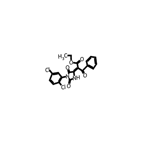 CCOC(=O)C(C(=O)c1ccccc1)=C1NC(=O)N(c2cc(Cl)ccc2Cl)C1=O